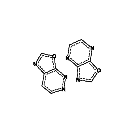 c1cc2ncoc2nn1.c1cnc2ocnc2n1